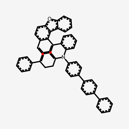 C1=C=C(c2ccccc2N(C2=CC=C(c3ccccc3)CC2)c2ccc(-c3ccc(-c4ccccc4)cc3)cc2)c2c(ccc3oc4ccccc4c23)C=1